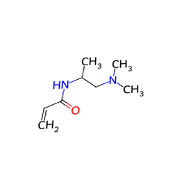 C=CC(=O)NC(C)CN(C)C